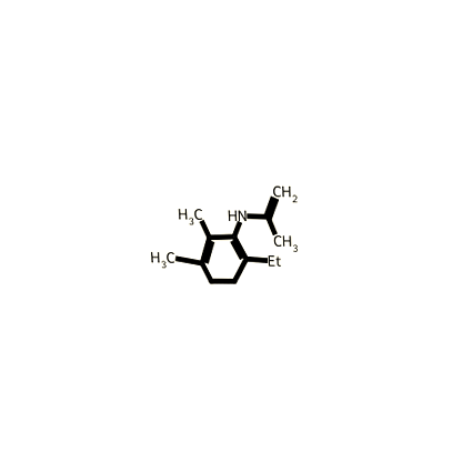 C=C(C)NC1=C(CC)CCC(C)=C1C